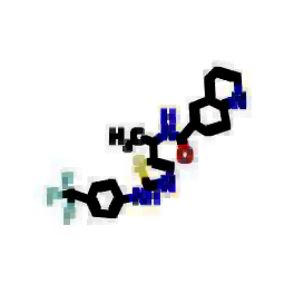 CC(NC(=O)c1ccc2ncccc2c1)c1cnc(Nc2ccc(C(F)(F)F)cc2)s1